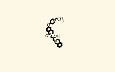 CCN1CCC(Oc2ccc3c(c2)CCN(CC(O)CN2CCc4ccccc4C2)C3=O)CC1